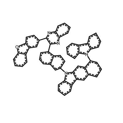 c1cc(-c2nc3ccccc3nc2-c2ccc3oc4ccccc4c3c2)c2ccc(-n3c4ccccc4c4cc5cccc(-n6c7ccccc7c7ccccc76)c5cc43)cc2c1